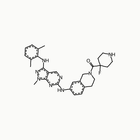 Cc1cccc(C)c1Nc1nn(C)c2nc(Nc3ccc4c(c3)CN(C(=O)C3(F)CCNCC3)CC4)ncc12